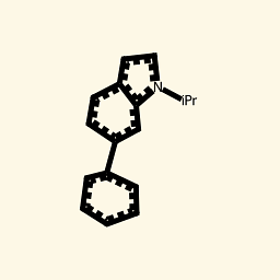 CC(C)n1ccc2ccc(-c3ccccc3)cc21